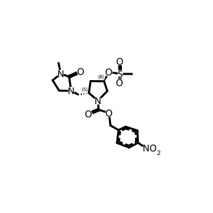 CN1CCN(C[C@@H]2C[C@@H](OS(C)(=O)=O)CN2C(=O)OCc2ccc([N+](=O)[O-])cc2)C1=O